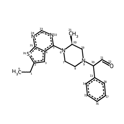 CCc1cc2c(N3CCN(C(C=O)c4ccccc4)C[C@@H]3C)ncnc2s1